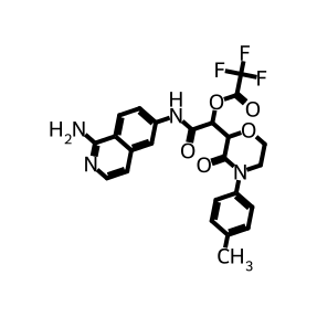 Cc1ccc(N2CCOC(C(OC(=O)C(F)(F)F)C(=O)Nc3ccc4c(N)nccc4c3)C2=O)cc1